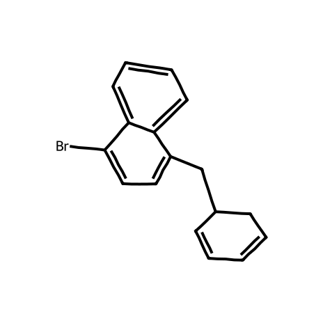 Brc1ccc(CC2C=CC=CC2)c2ccccc12